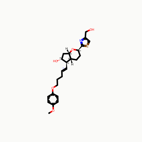 COc1ccc(OCCC/C=C/[C@@H]2[C@H]3CC[C@H](c4nc(CO)cs4)O[C@H]3C[C@H]2O)cc1